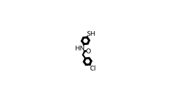 O=C(Cc1ccc(Cl)cc1)Nc1ccc(S)cc1